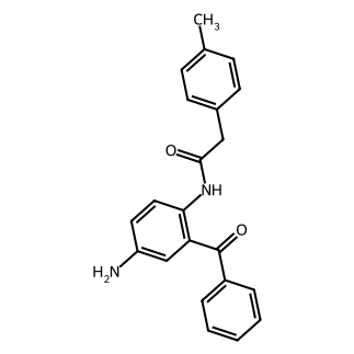 Cc1ccc(CC(=O)Nc2ccc(N)cc2C(=O)c2ccccc2)cc1